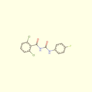 O=C(NC(=O)c1c(Cl)cccc1Cl)Nc1ccc(F)cc1